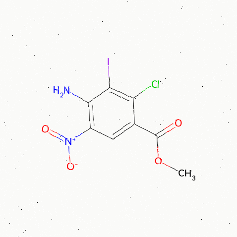 COC(=O)c1cc([N+](=O)[O-])c(N)c(I)c1Cl